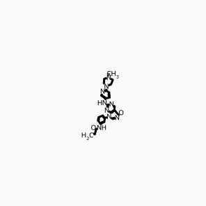 C=CC(=O)Nc1cccc(-n2cnc(=O)c3cnc(Nc4ccc(N5CCN(C)CC5)nc4)nc32)c1